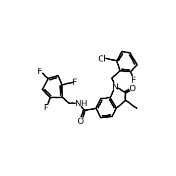 CC1C(=O)N(Cc2c(F)cccc2Cl)c2cc(C(=O)NCc3c(F)cc(F)cc3F)ccc21